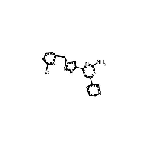 CCc1cccc(Cn2cc(-c3cc(-c4cccnc4)nc(N)n3)nn2)n1